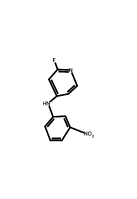 O=[N+]([O-])c1cccc(Nc2ccnc(F)c2)c1